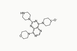 [O-][S+]1CCN(c2nc(N3CCNCC3)nc3c(N4CCOCC4)ncnc23)CC1